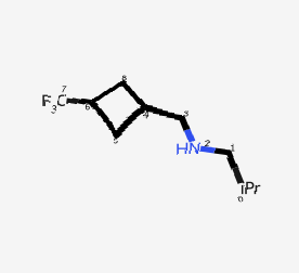 CC(C)CNCC1CC(C(F)(F)F)C1